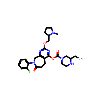 CN1CCCC1COc1nc2c(c(OC(=O)N3CCNC(CC#N)C3)n1)CCC(=O)N(c1ccccc1F)C2